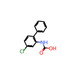 O=C(O)Nc1cc(Cl)ccc1-c1ccccc1